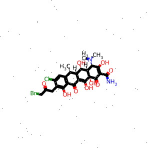 C[C@H]1c2cc(Cl)c(CC(=O)CBr)c(O)c2C(=O)C2=C(O)[C@]3(O)C(=O)C(C(N)=O)=C(O)[C@@H](N(C)C)[C@@H]3[C@@H](O)[C@@H]21